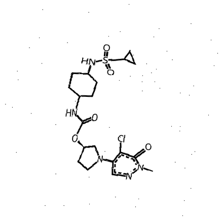 Cn1ncc(N2CC[C@@H](OC(=O)NC3CCC(NS(=O)(=O)C4CC4)CC3)C2)c(Cl)c1=O